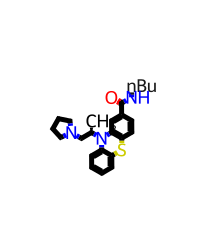 CCCCNC(=O)c1ccc2c(c1)N([C@H](C)CN1CCCC1)c1ccccc1S2